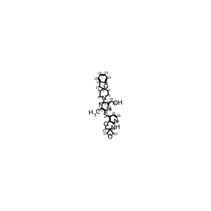 Cc1nc(N2CCC3(CC2)Cc2ccccc2O3)c(CO)nc1Sc1ccnc2c1OCC1(COC1)N2